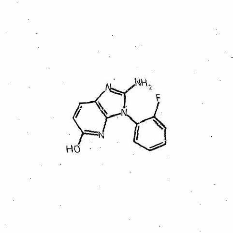 Nc1nc2ccc(O)nc2n1-c1ccccc1F